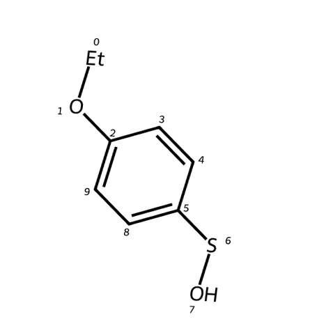 CCOc1ccc(SO)cc1